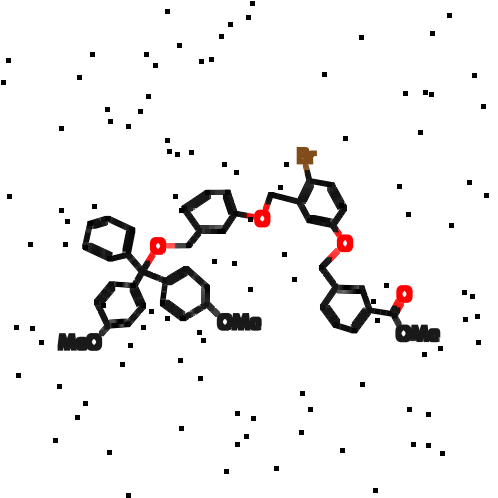 COC(=O)c1cccc(COc2ccc(Br)c(COc3cccc(COC(c4ccccc4)(c4ccc(OC)cc4)c4ccc(OC)cc4)c3)c2)c1